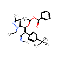 CCn1nc(C)cc1/C(OC(C)OC(=O)c1ccccc1)=C(\C=N/C)c1ccc(C(C)(C)C)cc1